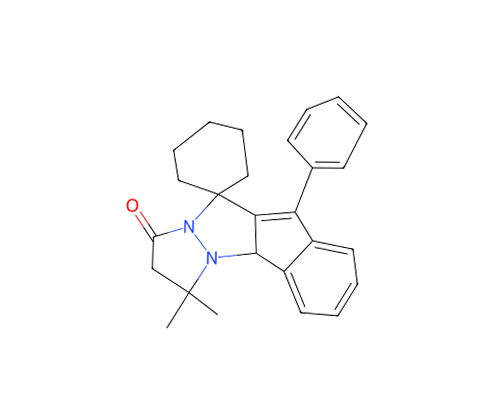 CC1(C)CC(=O)N2N1C1C(=C(c3ccccc3)c3ccccc31)C21CCCCC1